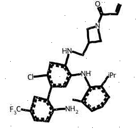 C=CC(=O)N1CC(CNc2cc(Cl)c(-c3cc(C(F)(F)F)ccc3N)cc2Nc2c(C)cccc2C(C)C)C1